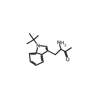 CC(=O)C(N)Cc1cn(C(C)(C)C)c2ccccc12